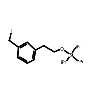 CC(C)[Si](OCCc1cccc(CI)c1)(C(C)C)C(C)C